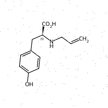 C=CCN[C@@H](Cc1ccc(O)cc1)C(=O)O